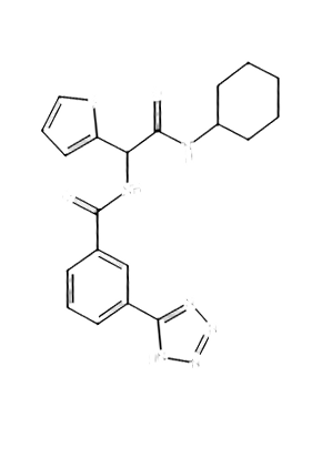 O=C(NC(C(=O)NC1CCCCC1)c1cccs1)c1cccc(-c2nnn[nH]2)c1